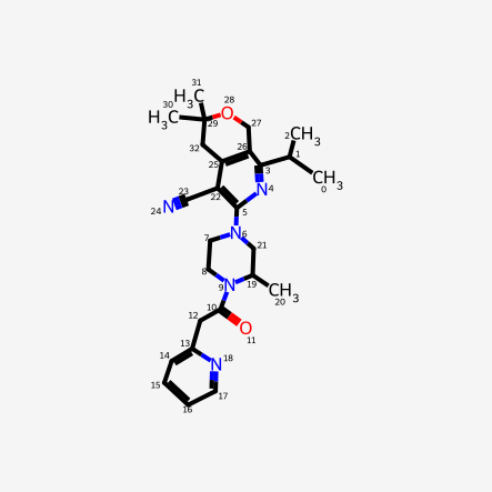 CC(C)c1nc(N2CCN(C(=O)Cc3ccccn3)C(C)C2)c(C#N)c2c1COC(C)(C)C2